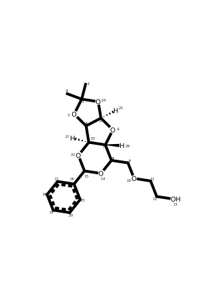 CC1(C)OC2[C@H](O[C@@H]3C(COCCO)OC(c4ccccc4)O[C@@H]23)O1